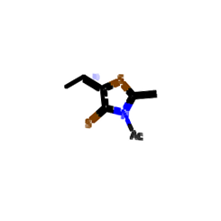 C=c1s/c(=C/C)c(=S)n1C(C)=O